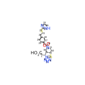 O=C(O)CCn1nnnc1SC1CCN(C(=O)Oc2ccc(CCSc3ncc[nH]3)cc2)CC1